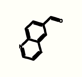 O=Cc1ccc2ncc[c]c2c1